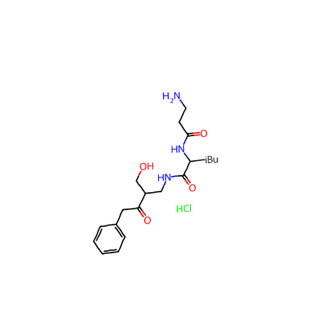 CCC(C)C(NC(=O)CCN)C(=O)NCC(CO)C(=O)Cc1ccccc1.Cl